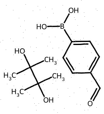 CC(C)(O)C(C)(C)O.O=Cc1ccc(B(O)O)cc1